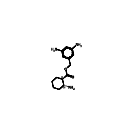 Nc1cc(N)cc(COC(=O)[C@@H]2CCCC[C@H]2N)c1